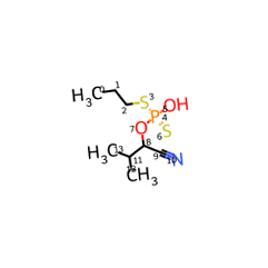 CCCSP(O)(=S)OC(C#N)C(C)C